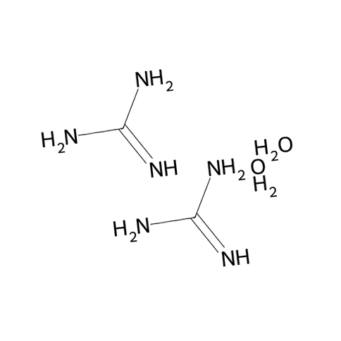 N=C(N)N.N=C(N)N.O.O